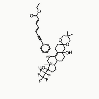 CCOC(=O)C=CC=CC#Cc1ccc([C@H]2C[C@@]3(C)C(CC[C@@]3(O)C(F)(F)C(F)(F)F)C3CCC4(O)CC5(CCC4=C32)OCC(C)(C)CO5)cc1